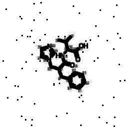 CC(C)[C@H](NC(=O)C(Cc1ccccc1)Cn1ccnc1)C(=O)O